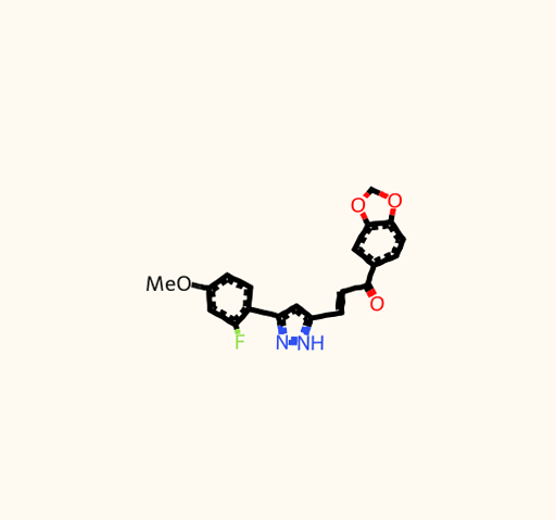 COc1ccc(-c2cc(C=CC(=O)c3ccc4c(c3)OCO4)[nH]n2)c(F)c1